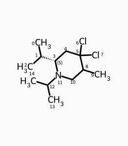 CC(C)[C@@H]1CC(Cl)(Cl)C(C)CN1C(C)C